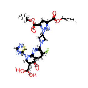 CCOC(=O)c1cc(C(=O)OCC)n(C2CN(c3nc4c(cc3F)c(=O)c(C(O)O)cn4-c3ncns3)C2)n1